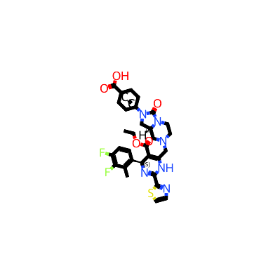 CCOC(=O)C1=C(CN2CCN3C(=O)N(C45CCC(C(=O)O)(CC4)CC5)C[C@@H]3C2)NC(c2nccs2)=N[C@H]1c1ccc(F)c(F)c1C